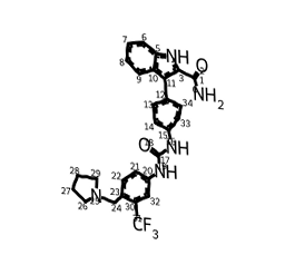 NC(=O)c1[nH]c2ccccc2c1-c1ccc(NC(=O)Nc2ccc(CN3CCCC3)c(C(F)(F)F)c2)cc1